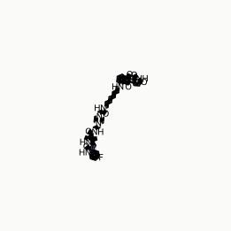 Cc1[nH]c(/C=C2\C(=O)Nc3ccc(F)cc32)c(C)c1C(=O)NCCN1CCN(CC(=O)NCCCCCCCCNc2cccc3c2C(=O)N(C2CCC(=O)NC2=O)C3=O)CC1